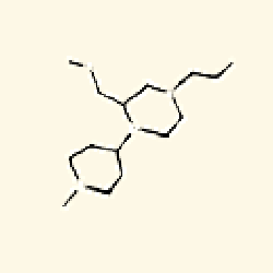 CCCN1CCN(C2CCN(C)CC2)C(COC)C1